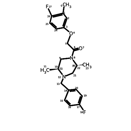 Cc1cc(OCC(=O)N2C[C@H](C)N(Cc3ccc(F)cc3)C[C@H]2C)ccc1F